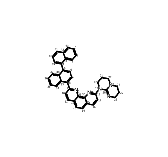 c1ccc2c(-c3ccc(-c4ccc5ccc6ccc(N7CCCN8CCCN=C87)nc6c5n4)c4ccccc34)cccc2c1